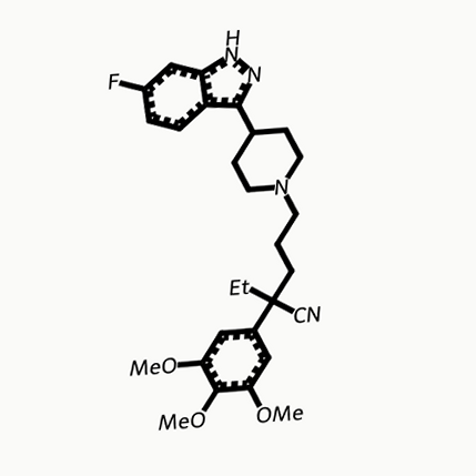 CCC(C#N)(CCCN1CCC(c2n[nH]c3cc(F)ccc23)CC1)c1cc(OC)c(OC)c(OC)c1